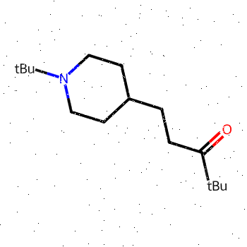 CC(C)(C)C(=O)CCC1CCN(C(C)(C)C)CC1